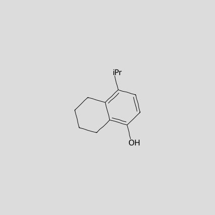 CC(C)c1ccc(O)c2c1CCCC2